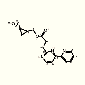 CCOC(=O)C1CC1COC(=O)CSc1nccc(-c2ccccn2)n1